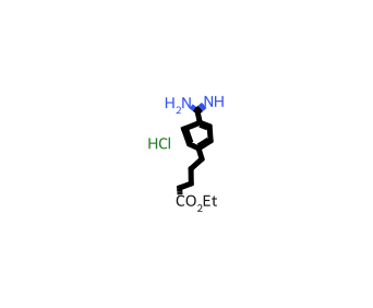 CCOC(=O)CCCCc1ccc(C(=N)N)cc1.Cl